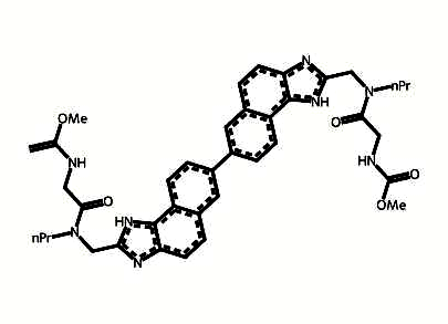 C=C(NCC(=O)N(CCC)Cc1nc2ccc3cc(-c4ccc5c(ccc6nc(CN(CCC)C(=O)CNC(=O)OC)[nH]c65)c4)ccc3c2[nH]1)OC